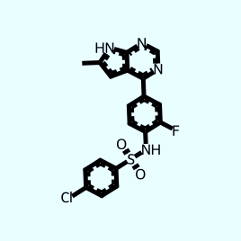 Cc1cc2c(-c3ccc(NS(=O)(=O)c4ccc(Cl)cc4)c(F)c3)ncnc2[nH]1